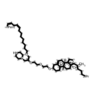 CCCCC/C=C\C/C=C\CCCCCCCCOCC(CN1CCNCC1)OCCOCCO[C@H]1CC[C@@]2(C)C(=CC[C@H]3[C@@H]4CC[C@H]([C@H](C)CCCC(C)C)[C@@]4(C)CC[C@@H]32)C1